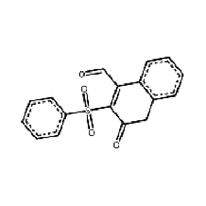 O=CC1=C(S(=O)(=O)c2ccccc2)C(=O)Cc2ccccc21